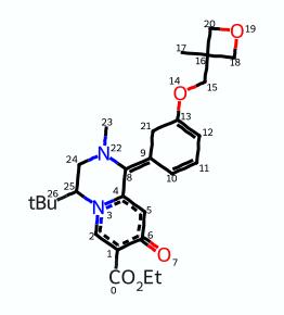 CCOC(=O)c1cn2c(cc1=O)/C(=C1\C=CC=C(OCC3(C)COC3)C1)N(C)CC2C(C)(C)C